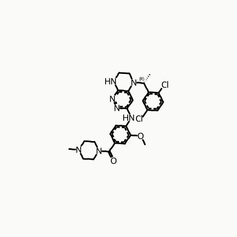 COc1cc(C(=O)N2CCN(C)CC2)ccc1Nc1cc2c(nn1)NCCN2[C@H](C)c1cc(Cl)ccc1Cl